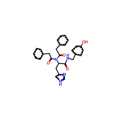 O=C(NCc1ccc(O)cc1)C(Cc1c[nH]cn1)N(C(=O)Cc1ccccc1)C(=O)Cc1ccccc1